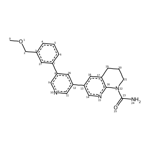 COCc1cccc(-c2cncc(-c3cnc4c(c3)CCCN4C(N)=O)c2)c1